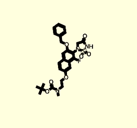 CN(CCOc1ccc2cc(OCc3ccccc3)c(N3CC(=O)NS3(=O)=O)c(F)c2c1)C(=O)OC(C)(C)C